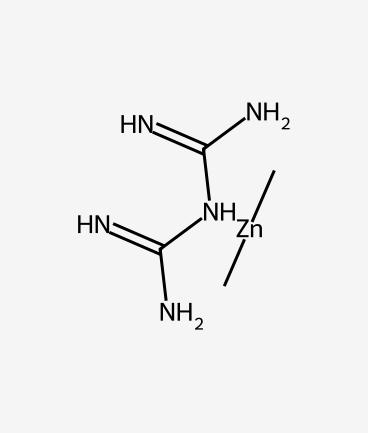 N=C(N)NC(=N)N.[CH3][Zn][CH3]